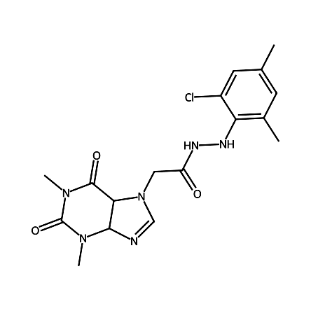 Cc1cc(C)c(NNC(=O)CN2C=NC3C2C(=O)N(C)C(=O)N3C)c(Cl)c1